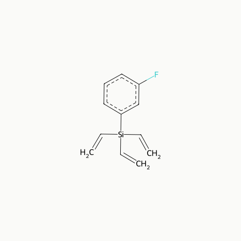 C=C[Si](C=C)(C=C)c1cccc(F)c1